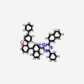 C1=CC2Oc3cc(-c4ccccc4)ccc3C2C(c2ccc(C3N=C(c4ccccc4)N=C(c4ccc5ccccc5c4)N3)c3ccccc23)=C1